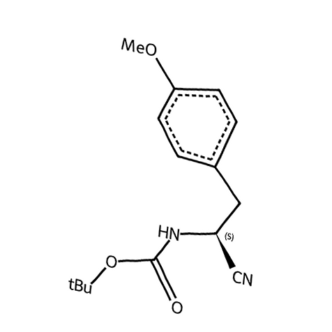 COc1ccc(C[C@@H](C#N)NC(=O)OC(C)(C)C)cc1